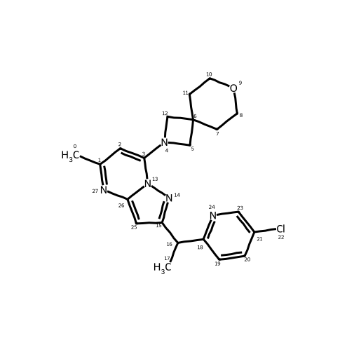 Cc1cc(N2CC3(CCOCC3)C2)n2nc(C(C)c3ccc(Cl)cn3)cc2n1